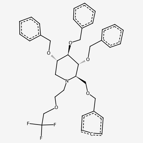 FC(F)(F)COCCN1C[C@H](OCc2ccccc2)[C@@H](OCc2ccccc2)[C@H](OCc2ccccc2)[C@H]1COCc1ccccc1